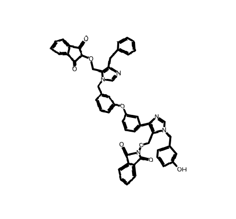 O=C1c2ccccc2C(=O)C1OCc1c(Cc2ccccc2)ncn1Cc1cccc(Oc2cccc(-c3ncn(Cc4cccc(O)c4)c3CON3C(=O)c4ccccc4C3=O)c2)c1